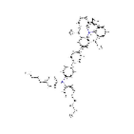 CCCCc1ccc(N(c2ccc(CCCC)cc2)c2ccc(-c3ccc(-c4ccc(N(c5c(C)cccc5CC)c5c(C)cccc5CC)cc4)cc3)cc2)cc1